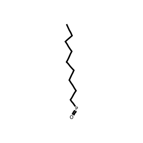 CCCCCCCCCP=O